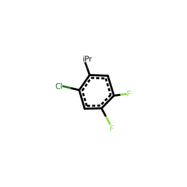 CC(C)c1cc(F)c(F)cc1Cl